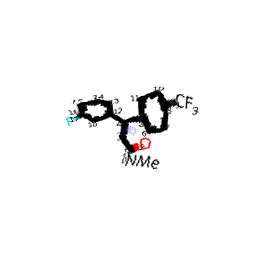 CNC(=O)/C=C(\c1ccc(C(F)(F)F)cc1)c1cccc(F)c1